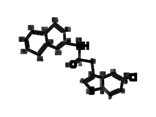 O=C([CH]c1csc2ccc(Cl)cc12)Nc1ccc2ccccc2c1